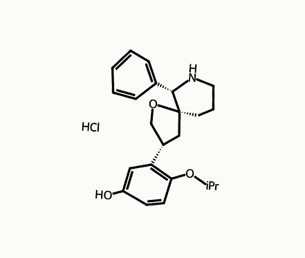 CC(C)Oc1ccc(O)cc1[C@@H]1CO[C@]2(CCCN[C@H]2c2ccccc2)C1.Cl